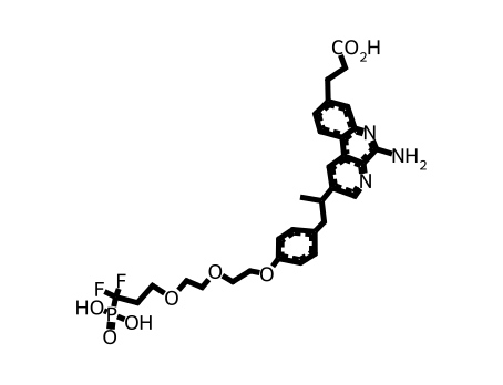 CC(Cc1ccc(OCCOCCOCCC(F)(F)P(=O)(O)O)cc1)c1cnc2c(N)nc3cc(CCC(=O)O)ccc3c2c1